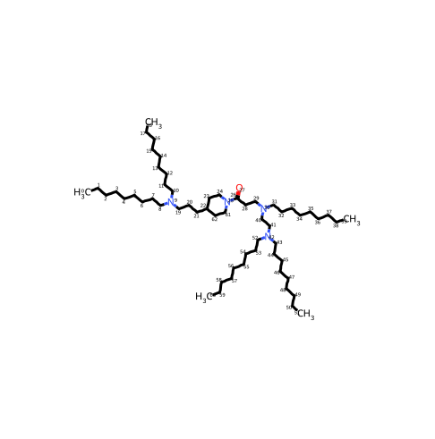 CCCCC[CH]CC[CH]N(CCCCCCCCC)CCCC1CCN(C(=O)CCN(CCCCCCCCC)CCN(CCCCCCCCC)CCCCCCCCC)CC1